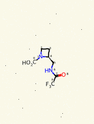 O=C(O)N1CC[C@H]1CNC(=O)C(F)(F)F